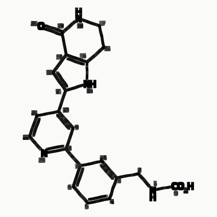 O=C(O)NCc1cccc(-c2cc(-c3cc4c([nH]3)CCNC4=O)ccn2)c1